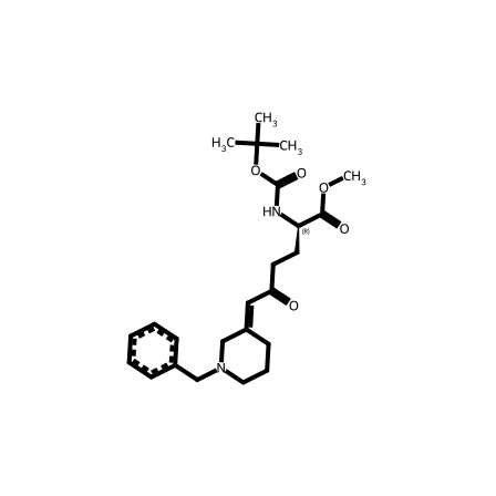 COC(=O)[C@@H](CCC(=O)C=C1CCCN(Cc2ccccc2)C1)NC(=O)OC(C)(C)C